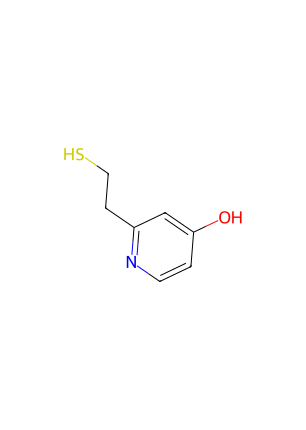 Oc1ccnc(CCS)c1